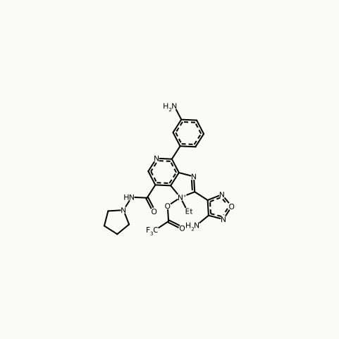 CC[N+]1(OC(=O)C(F)(F)F)C(c2nonc2N)=Nc2c(-c3cccc(N)c3)ncc(C(=O)NN3CCCC3)c21